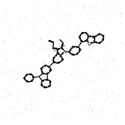 C=C/C=c1\c(=C/C)n(-c2cccc(-c3cccc4c3oc3ccccc34)c2)c2ccc(-c3ccc4c(c3)-c3ccccc3C4c3ccccc3)cc12